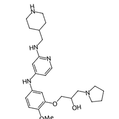 COc1ccc(Nc2ccnc(NCC3CCNCC3)c2)cc1OCC(O)CN1CCCC1